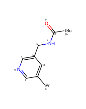 CC(C)c1cncc(CNC(=O)C(C)(C)C)c1